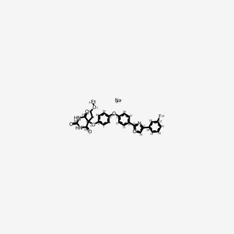 CCOCCC1(Oc2ccc(Oc3ccc(-c4nc(-c5cccc(F)c5)co4)cc3)cc2)C(=O)NC(=O)NC1=O.[Na]